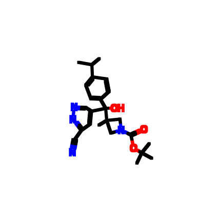 CC(C)c1ccc(C(O)(c2cnnc(C#N)c2)C2(C)CN(C(=O)OC(C)(C)C)C2)cc1